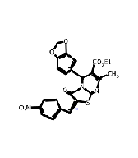 CCOC(=O)C1=C(C)N=c2s/c(=C/c3ccc([N+](=O)[O-])cc3)c(=O)n2C1c1ccc2c(c1)OCO2